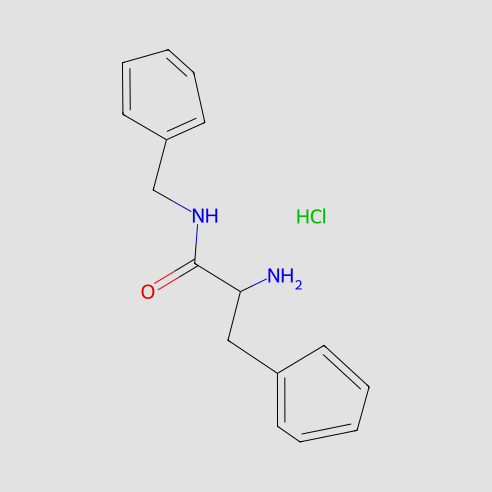 Cl.NC(Cc1ccccc1)C(=O)NCc1ccccc1